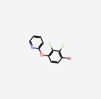 Fc1c(Br)ccc(Oc2ccccn2)c1F